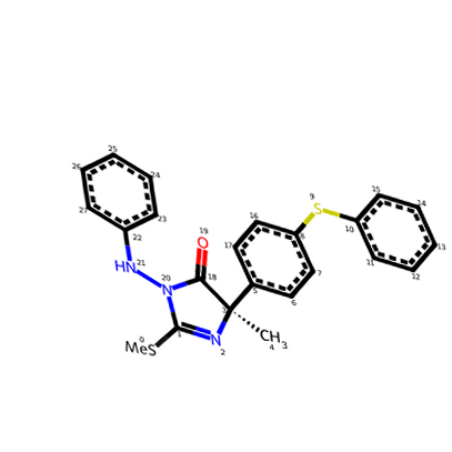 CSC1=N[C@](C)(c2ccc(Sc3ccccc3)cc2)C(=O)N1Nc1ccccc1